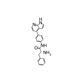 N[C@H](Cc1ccccc1)C(=O)Nc1ccc(-c2ccnc3[nH]ccc23)cc1